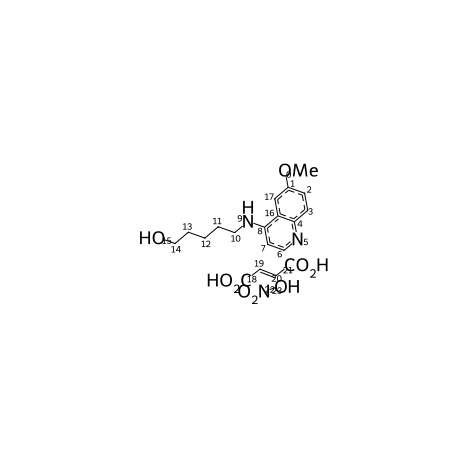 COc1ccc2nccc(NCCCCCO)c2c1.O=C(O)C=CC(=O)O.O=[N+]([O-])O